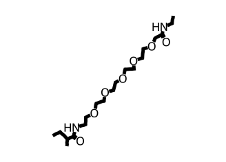 CCNC(=O)COCCOCCOCCOCCOCCNC(=O)C(C)CC